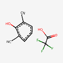 N#Cc1cccc(C#N)c1O.O=C(O)C(F)(F)F